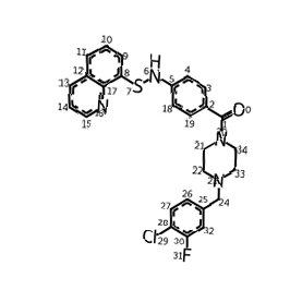 O=C(c1ccc(NSc2cccc3cccnc23)cc1)N1CCN(Cc2ccc(Cl)c(F)c2)CC1